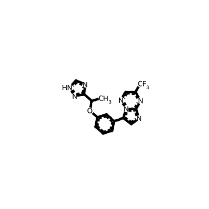 CC(Oc1cccc(-c2cnc3nc(C(F)(F)F)cnn23)c1)c1nc[nH]n1